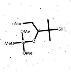 CCCCCCCCCCC(O[Si](OC)(OC)OC)C(C)(C)[SiH3]